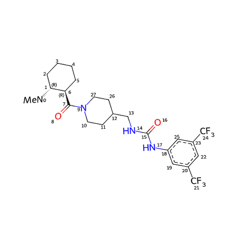 CN[C@@H]1CCCC[C@H]1C(=O)N1CCC(CNC(=O)Nc2cc(C(F)(F)F)cc(C(F)(F)F)c2)CC1